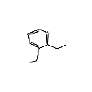 CCc1c[c]cnc1CC